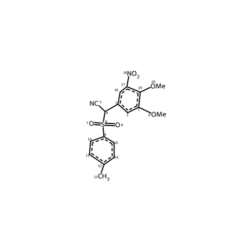 COc1cc(C(C#N)S(=O)(=O)c2ccc(C)cc2)cc([N+](=O)[O-])c1OC